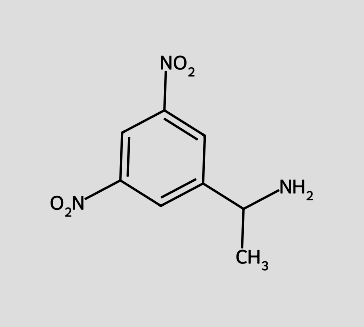 CC(N)c1cc([N+](=O)[O-])cc([N+](=O)[O-])c1